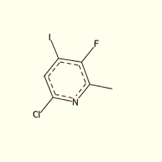 Cc1nc(Cl)cc(I)c1F